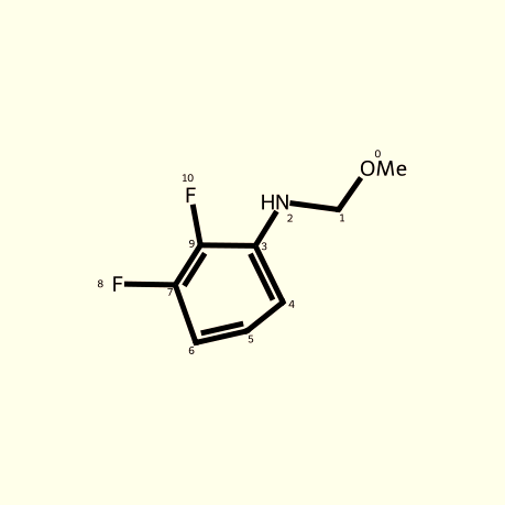 COCNc1cccc(F)c1F